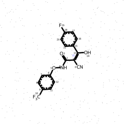 N#C/C(C(=O)NOc1ccc(C(F)(F)F)cc1)=C(\O)c1ccc(F)cc1